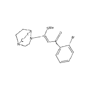 CSC(=CC(=O)c1ccccc1Br)N1CCN2CCC1CC2